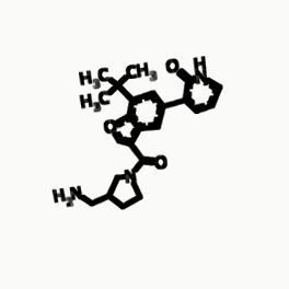 CC(C)(C)c1cc(-c2ccc[nH]c2=O)cc2c(C(=O)N3CCC(CN)C3)coc12